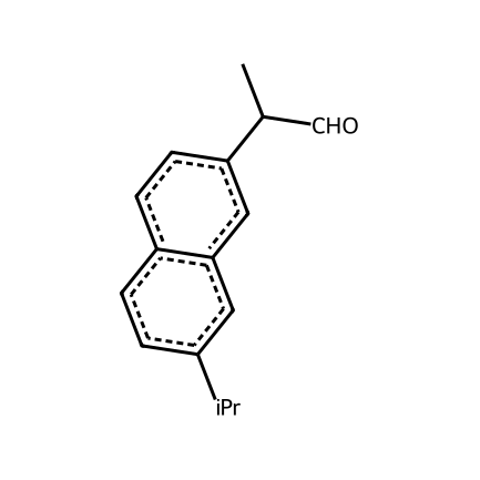 CC(C)c1ccc2ccc(C(C)C=O)cc2c1